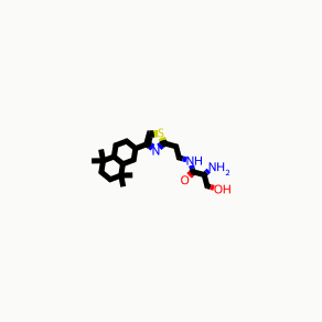 CC1(C)CCC(C)(C)C2CC(c3csc(CCNC(=O)C(N)CO)n3)CCC21